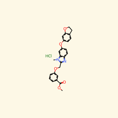 COC(=O)c1cccc(OCc2nc3ccc(Oc4ccc5c(c4)OCC5)cc3n2C)c1.Cl